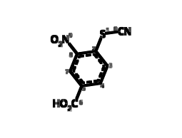 N#CSc1ccc(C(=O)O)cc1[N+](=O)[O-]